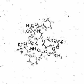 CC(=O)Oc1cc(C2=CN(C(=O)c3ccccc3)C(C(C)C)C(=O)N2CC(=O)NC(Cc2ccccc2)C(O)C(F)(F)F)cc(OC(C)=O)c1OC(C)=O